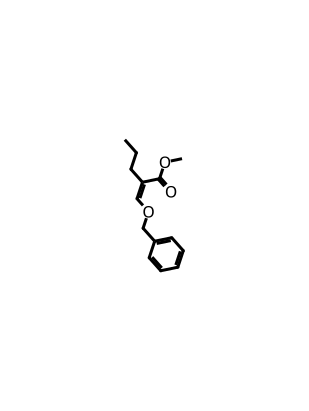 CCCC(=COCc1ccccc1)C(=O)OC